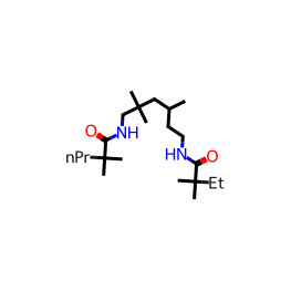 CCCC(C)(C)C(=O)NCC(C)(C)CC(C)CCNC(=O)C(C)(C)CC